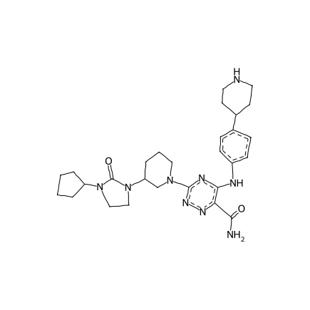 NC(=O)c1nnc(N2CCCC(N3CCN(C4CCCC4)C3=O)C2)nc1Nc1ccc(C2CCNCC2)cc1